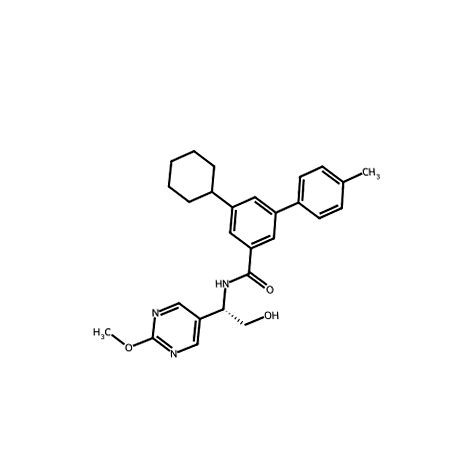 COc1ncc([C@@H](CO)NC(=O)c2cc(-c3ccc(C)cc3)cc(C3CCCCC3)c2)cn1